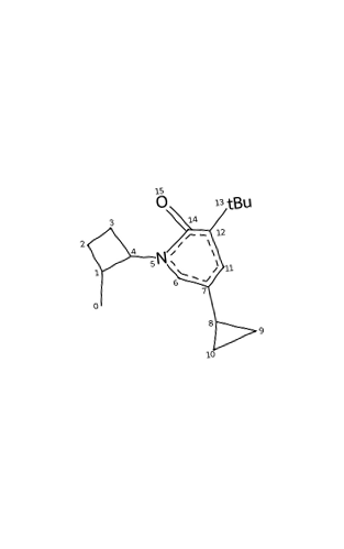 CC1CCC1n1cc(C2CC2)cc(C(C)(C)C)c1=O